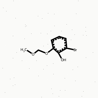 COCOc1cccc(Br)c1O